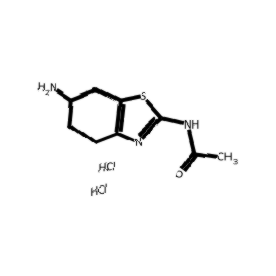 CC(=O)Nc1nc2c(s1)CC(N)CC2.Cl.Cl